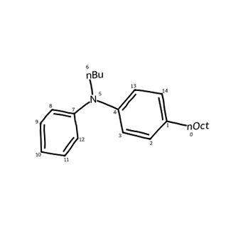 CCCCCCCCc1ccc(N(CCCC)c2ccccc2)cc1